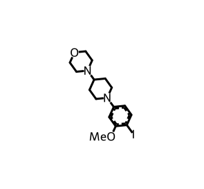 COc1cc(N2CCC(N3CCOCC3)CC2)ccc1I